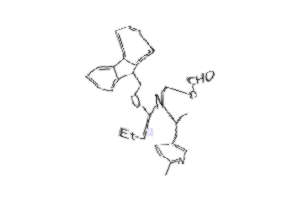 CC/C=C(\OCC1c2ccccc2-c2ccccc21)N(COC=O)C(C)c1ccc(C)nc1